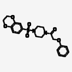 O=C(COc1ccccc1)N1CCN(S(=O)(=O)c2ccc3c(c2)OCCO3)CC1